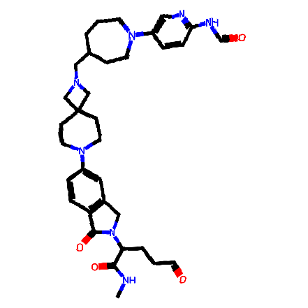 CNC(=O)C(CCC=O)N1Cc2cc(N3CCC4(CC3)CN(CC3CCCN(c5ccc(NC=O)nc5)CC3)C4)ccc2C1=O